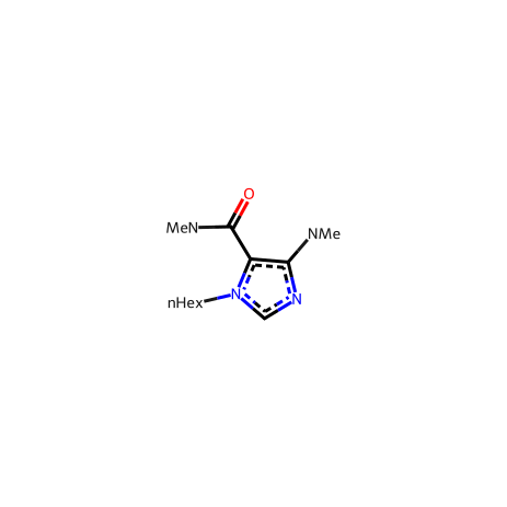 CCCCCCn1cnc(NC)c1C(=O)NC